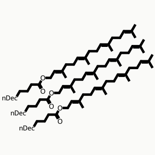 CCCCCCCCCCCCCC(=O)OC/C=C(\C)CC/C=C(\C)CC/C=C(\C)CCC=C(C)C.CCCCCCCCCCCCCC(=O)OC/C=C(\C)CC/C=C(\C)CC/C=C(\C)CCC=C(C)C.CCCCCCCCCCCCCC(=O)OC/C=C(\C)CC/C=C(\C)CC/C=C(\C)CCC=C(C)C